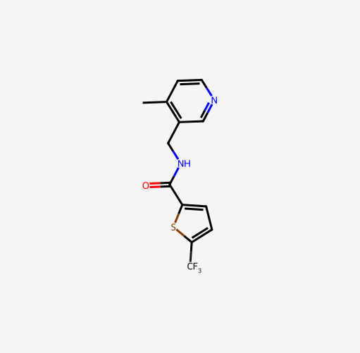 Cc1ccncc1CNC(=O)c1ccc(C(F)(F)F)s1